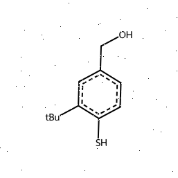 CC(C)(C)c1cc(CO)ccc1S